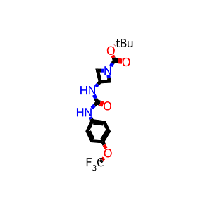 CC(C)(C)OC(=O)N1CC(NC(=O)Nc2ccc(OC(F)(F)F)cc2)C1